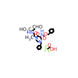 C[C@H](C(=O)N[C@@H](CC=O)C(=O)O)N1CCN(Cc2ccccc2)C[C@H](NC(=O)OCc2ccccc2)C1=O.O=C(O)C(F)(F)F